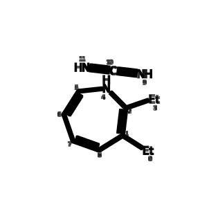 CCC1=C(CC)NC=CC=C1.N=C=N